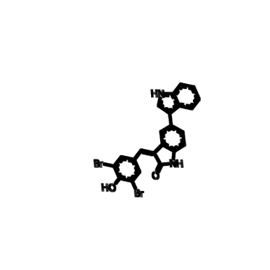 O=C1Nc2ccc(-c3c[nH]c4ccccc34)cc2C1=Cc1cc(Br)c(O)c(Br)c1